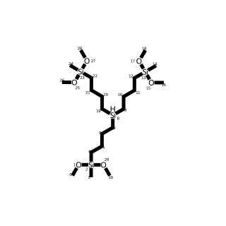 CO[Si](C)(CCCC[SiH](CCCC[Si](C)(OC)OC)CCCC[Si](C)(OC)OC)OC